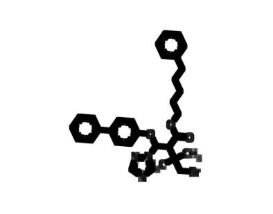 CC(C)(CBr)C(C(=O)OCCCCCc1ccccc1)C(Oc1ccc(-c2ccccc2)cc1)n1cncn1